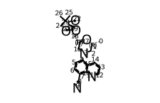 C[C@@H]1CN(c2ccc(C#N)c3ncccc23)C[C@H](COS(=O)(=O)C(C)(C)C)O1